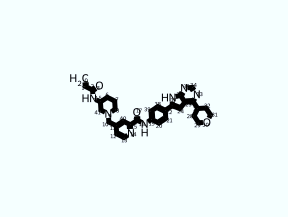 C=CC(=O)NC1CCCN(Cc2ccnc(C(=O)Nc3ccc(-c4cc5c(C6CCOCC6)ncnc5[nH]4)cc3)c2)C1